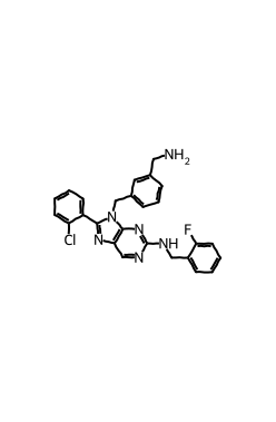 NCc1cccc(Cn2c(-c3ccccc3Cl)nc3cnc(NCc4ccccc4F)nc32)c1